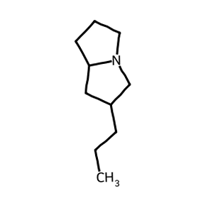 CCCC1CC2CCCN2C1